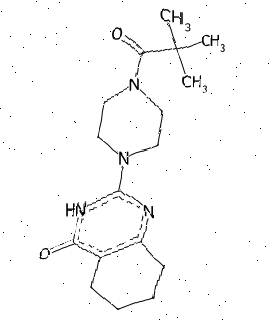 CC(C)(C)C(=O)N1CCN(c2nc3c(c(=O)[nH]2)CCCC3)CC1